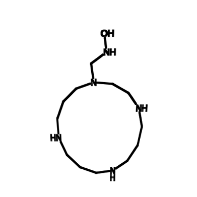 ONCN1CCCNCCCNCCCNCC1